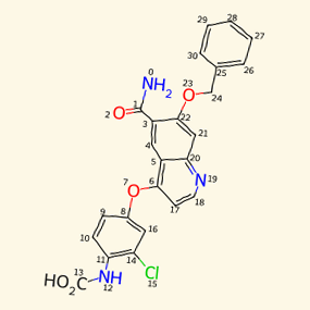 NC(=O)c1cc2c(Oc3ccc(NC(=O)O)c(Cl)c3)ccnc2cc1OCc1ccccc1